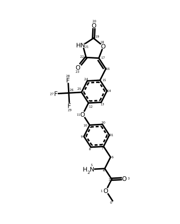 COC(=O)C(N)Cc1ccc(Oc2ccc(/C=C3/OC(=O)NC3=O)cc2C(F)(F)F)cc1